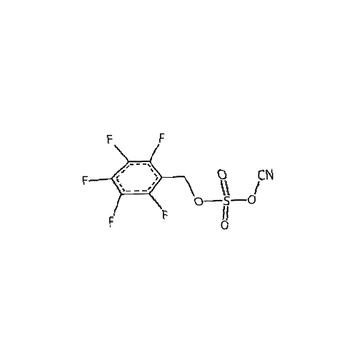 N#COS(=O)(=O)OCc1c(F)c(F)c(F)c(F)c1F